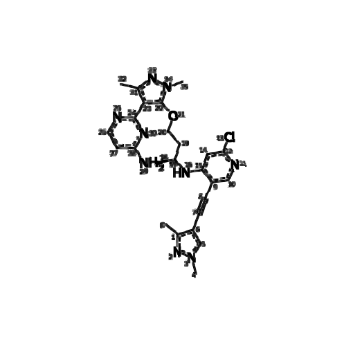 Cc1nn(C)cc1C#Cc1cnc(Cl)cc1N[C@@H](C)CCOc1c(-c2nccc(N)n2)c(C)nn1C